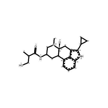 CC(CO)C(=O)NC1CC2c3cccc4[nH]c(C5CC5)c(c34)C[C@H]2N(C)C1